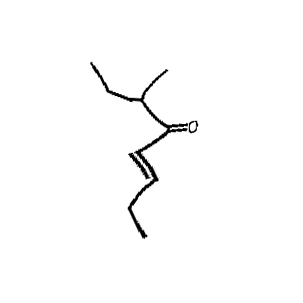 CCC=CC(=O)C(C)CC